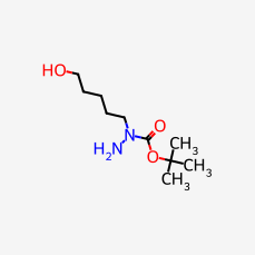 CC(C)(C)OC(=O)N(N)CCCCCO